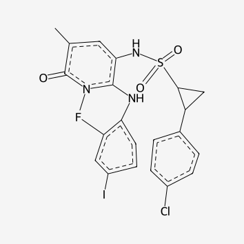 Cc1cc(NS(=O)(=O)C2CC2c2ccc(Cl)cc2)c(Nc2ccc(I)cc2F)n(C)c1=O